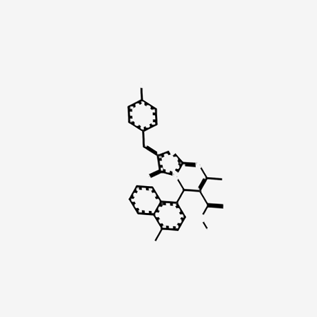 C=C(OCC)C1=C(C)N=c2s/c(=C\c3ccc(C(C)=O)cc3)c(=O)n2C1c1ccc(C)c2ccccc12